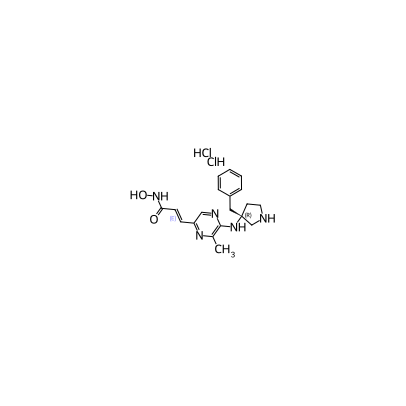 Cc1nc(/C=C/C(=O)NO)cnc1N[C@]1(Cc2ccccc2)CCNC1.Cl.Cl